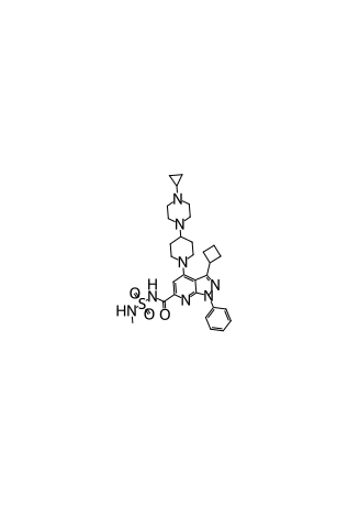 CNS(=O)(=O)NC(=O)c1cc(N2CCC(N3CCN(C4CC4)CC3)CC2)c2c(C3CCC3)nn(-c3ccccc3)c2n1